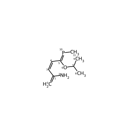 C=C(N)/C=C\C(OC(C)C)=P\C